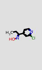 CCC(=NO)c1ccnc(Cl)c1